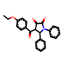 CCOc1ccc(C(=O)C2C(=O)C(=O)N(c3ccccc3)C2c2ccccc2)cc1